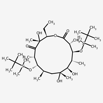 CC[C@H]1OC(=O)[C@H](C)[C@@H](O[Si](C)(C)C(C)(C)C)[C@H](C)[C@@H](O)[C@](C)(O)C[C@@H](C)[C@H](O[Si](C)(C)C(C)(C)C)[C@H](C)C(=O)[C@]1(C)O